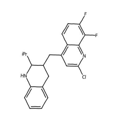 CC(C)C1Nc2ccccc2CC1Cc1cc(Cl)nc2c(F)c(F)ccc12